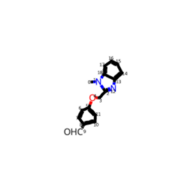 Cn1c(COc2ccc(C=O)cc2)nc2ccccc21